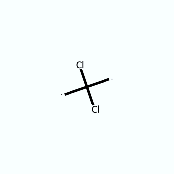 [CH2]C([CH2])(Cl)Cl